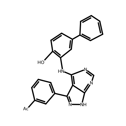 CC(=O)c1cccc(-c2n[nH]c3ncnc(Nc4cc(-c5ccccc5)ccc4O)c23)c1